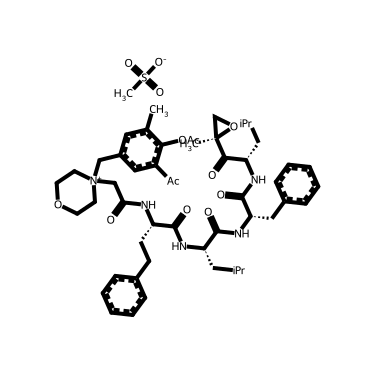 CC(=O)Oc1c(C)cc(C[N+]2(CC(=O)N[C@@H](CCc3ccccc3)C(=O)N[C@@H](CC(C)C)C(=O)N[C@@H](Cc3ccccc3)C(=O)N[C@@H](CC(C)C)C(=O)[C@@]3(C)CO3)CCOCC2)cc1C(C)=O.CS(=O)(=O)[O-]